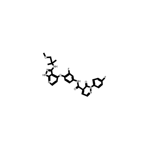 COCC(C)(C)Nc1n[nH]c2nccc(Oc3ccc(NC(=O)c4ccnn(-c5ccc(F)cc5)c4=O)cc3F)c12